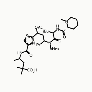 CCCCCCN(C(=O)C(NC(=O)[C@H]1CCCCN1C)C(C)CC)C(CC(OC(C)=O)c1nc(C(=O)NC(C)CC(C)(C)C(=O)O)cs1)C(C)C